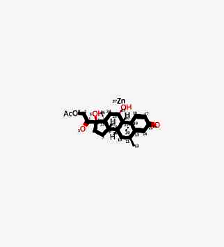 CC(=O)OCC(=O)[C@@]1(O)CC[C@H]2[C@@H]3C[C@H](C)C4=CC(=O)C=C[C@]4(C)[C@H]3[C@@H](O)C[C@@]21C.[Zn]